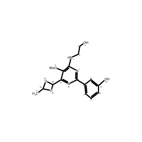 COc1c(NCCO)nc(-c2cccc(O)c2)nc1C1OC(C)O1